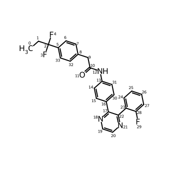 CCC(F)(F)c1ccc(CC(=O)Nc2ccc(-c3nccnc3-c3ccccc3F)cc2)cc1